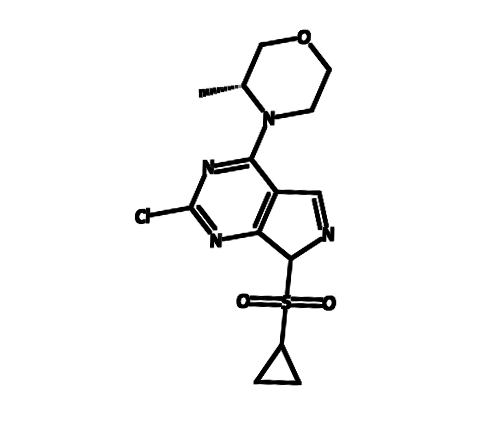 C[C@@H]1COCCN1c1nc(Cl)nc2c1C=NC2S(=O)(=O)C1CC1